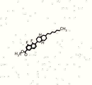 CCCCCCCC1CC[C@@H]2CC(c3ccc4cc(C(=O)OC)cc(F)c4c3F)CC[C@H]2C1